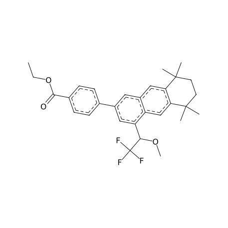 CCOC(=O)c1ccc(-c2cc(C(OC)C(F)(F)F)c3cc4c(cc3c2)C(C)(C)CCC4(C)C)cc1